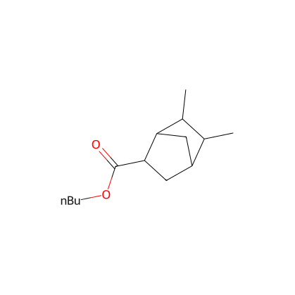 CCCCOC(=O)C1CC2CC1C(C)C2C